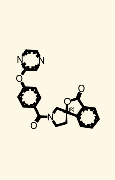 O=C1O[C@]2(CCN(C(=O)c3ccc(Oc4cnccn4)cc3)C2)c2ccccc21